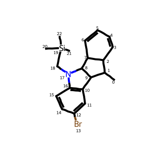 CC1C2C=CC=CC2C2C1c1cc(Br)ccc1N2C[Si](C)(C)C